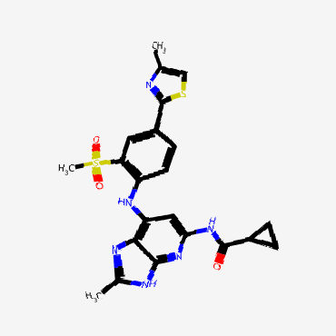 Cc1csc(-c2ccc(Nc3cc(NC(=O)C4CC4)nc4[nH]c(C)nc34)c(S(C)(=O)=O)c2)n1